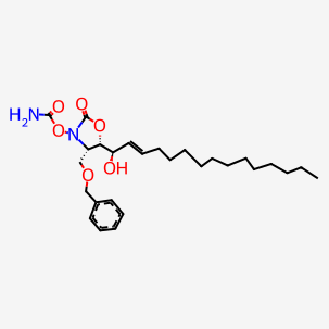 CCCCCCCCCCCCC=C[C@@H](O)[C@H]1OC(=O)N(OC(N)=O)[C@H]1COCc1ccccc1